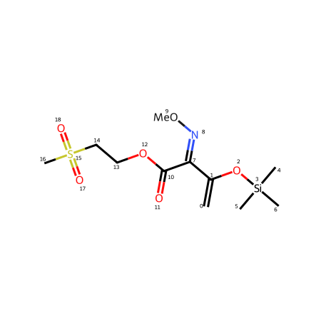 C=C(O[Si](C)(C)C)C(=NOC)C(=O)OCCS(C)(=O)=O